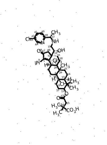 CC(C)C1=C2[C@H]3CC[C@@H]4[C@@]5(C)CCC(OC(=O)CC(C)(C)C(=O)O)C(C)(C)[C@@H]5CC[C@@]4(C)[C@]3(C)CC[C@@]2([C@@H](O)CN[C@H](C)c2ccc(Cl)cn2)CC1=O